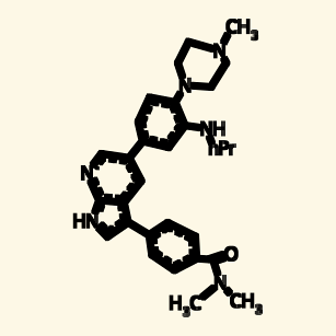 CCCNc1cc(-c2cnc3[nH]cc(-c4ccc(C(=O)N(C)C)cc4)c3c2)ccc1N1CCN(C)CC1